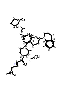 CN(C)C/C=C/C(=O)N1CCN(c2nc(OC[C@@H]3CCCN3C)nc3c2CCC(N2CCCc4ccccc42)C3)C[C@@H]1CC#N